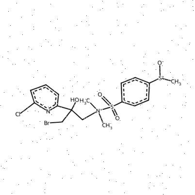 C[S+]([O-])c1ccc(S(=O)(=O)[N+](C)(C)CC(O)(CBr)c2cccc(Cl)n2)cc1